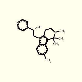 Cc1ccc2c(c1)c1c(n2C[C@@H](O)c2ccncc2)CCN(C)C1(C)C